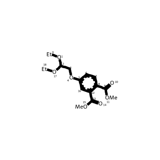 CCOC(COc1ccc(C(=O)OC)c(C(=O)OC)c1)OCC